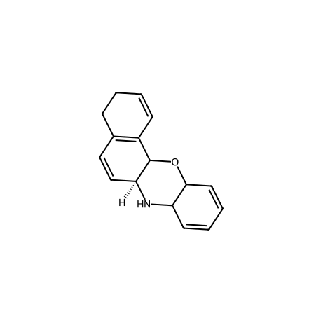 C1=CC2N[C@H]3C=CC4=C(C=CCC4)C3OC2C=C1